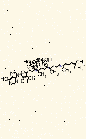 CC(C)=CCC/C(C)=C/CC/C(C)=C/CC/C(C)=C/CC(OP(=O)(O)OP(=O)(O)OP(=O)(O)O)[C@H]1O[C@@H](n2cnc3c(O)ncnc32)[C@H](O)[C@@H]1O